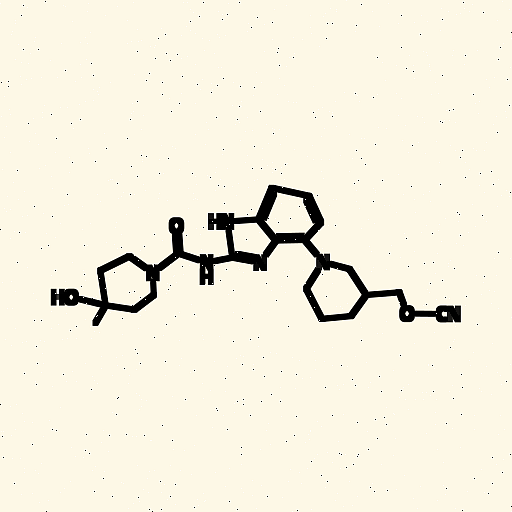 CC1(O)CCN(C(=O)Nc2nc3c(N4CCCC(COC#N)C4)cccc3[nH]2)CC1